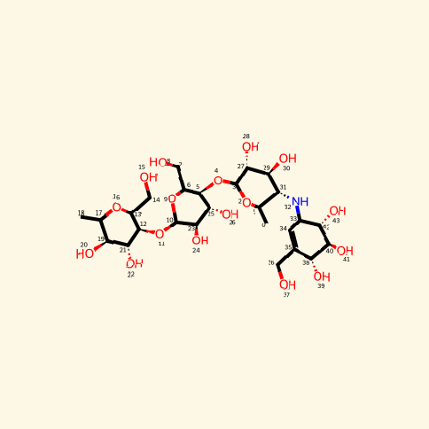 CC1OC(O[C@@H]2C(CO)OC(O[C@@H]3C(CO)OC(C)[C@H](O)[C@H]3O)[C@H](O)[C@H]2O)[C@H](O)[C@@H](O)[C@@H]1NC1C=C(CO)[C@@H](O)[C@H](O)[C@H]1O